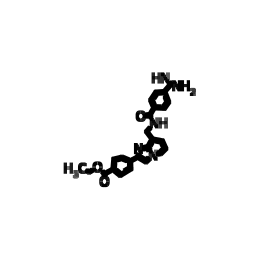 CCOC(=O)c1ccc(-c2cn3cccc(CNC(=O)c4ccc(C(=N)N)cc4)c3n2)cc1